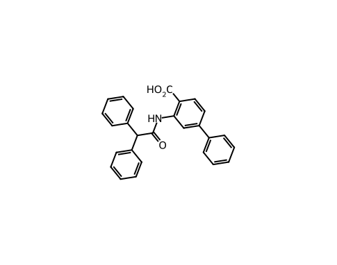 O=C(O)c1ccc(-c2ccccc2)cc1NC(=O)C(c1ccccc1)c1ccccc1